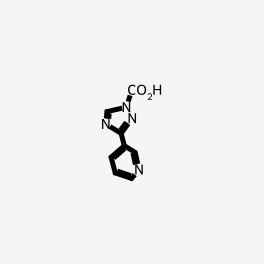 O=C(O)n1cnc(-c2cccnc2)n1